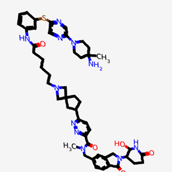 CN(Cc1ccc2c(c1)CN(C1CCC(=O)NC1O)C2=O)C(=O)c1ccc(C2CCC3(C2)CN(CCCCCC(=O)NC2=CC(Sc4cnc(N5CCC(C)(N)CC5)cn4)CC=C2)C3)nn1